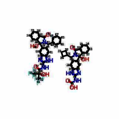 O=C(O)Nc1nc2cc(C3(O)c4ccccc4C(=O)N3CC3CCC3)ccc2[nH]1.O=C1c2ccccc2C(O)(c2ccc3[nH]c(NC(=O)C(O)(C(F)(F)F)C(F)(F)F)nc3c2)N1Cc1ccccc1